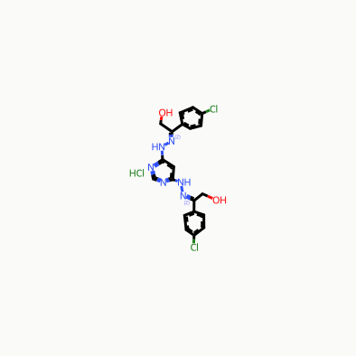 Cl.OC/C(=N\Nc1cc(N/N=C(\CO)c2ccc(Cl)cc2)ncn1)c1ccc(Cl)cc1